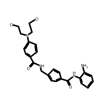 Nc1ccccc1NC(=O)c1ccc(CNC(=O)c2ccc(N(CCCl)CCCl)cc2)cc1